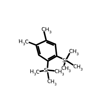 Cc1cc([Si](C)(C)C)c([Si](C)(C)C)cc1C